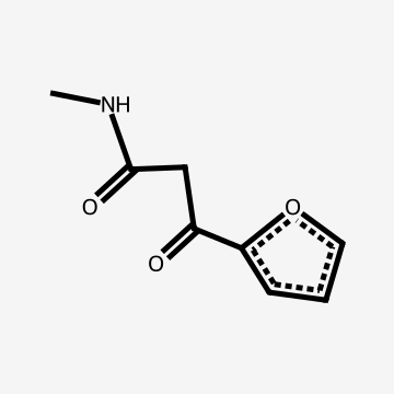 CNC(=O)CC(=O)c1ccco1